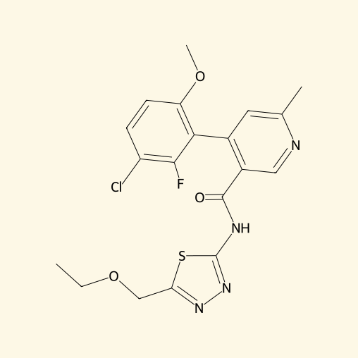 CCOCc1nnc(NC(=O)c2cnc(C)cc2-c2c(OC)ccc(Cl)c2F)s1